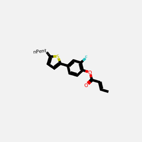 CC=CC(=O)Oc1ccc(-c2ccc(CCCCC)s2)cc1F